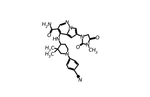 CN1C(=O)CN(c2cc3c(NC4CCN(c5ccc(C#N)cc5)CC4(C)C)c(C(N)=O)cnn3c2)C1=O